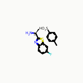 C[C@H](N)c1nc2ccc(F)cc2s1.Cc1ccc(S(=O)(=O)O)cc1